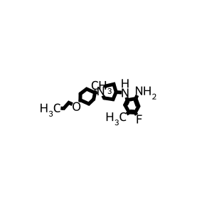 CCCO[C@H]1CC[C@@](C)(N2CCC(Nc3cc(C)c(F)cc3N)CC2)CC1